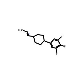 C/C=C/C1CCC(c2cc(F)c(F)c(F)c2)CC1